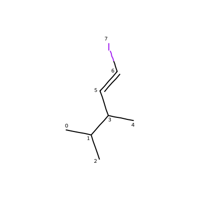 CC(C)C(C)C=CI